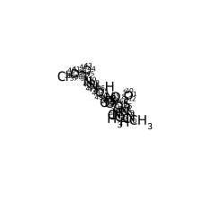 CN(C)CC(CSc1ccccc1)Nc1ccc(S(=O)(=O)NC(=O)c2ccc(N3CCN(CC4=C(c5ccc(Cl)cc5)CCCC4)CC3)cc2)cc1[N+](=O)[O-]